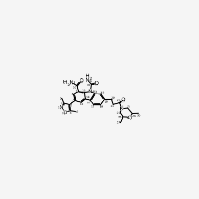 Cc1noc(C)c1-c1cc(C(N)=O)c2c(c1)c1ccc(CCC(=O)N3CC(C)OC(C)C3)cc1n2C(N)=O